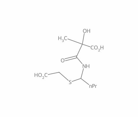 CCCC(NC(=O)C(C)(O)C(=O)O)SCC(=O)O